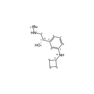 CC(C)(C)NC[C@@H](O)c1cccc(NC2CCC2)c1